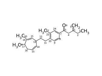 C=C(CC)CC(=O)c1ccc(CCC2C=CCC(C)C(C)=C2)c(C)c1